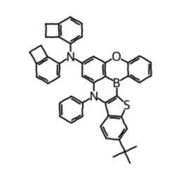 CC(C)(C)c1ccc2c3c(sc2c1)B1c2ccccc2Oc2cc(N(c4cccc5c4CC5)c4cccc5c4CC5)cc(c21)N3c1ccccc1